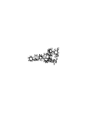 Fc1cc(OCCN2CCCC2)cc(-c2ccnc3[nH]c(-c4n[nH]c5ncc(-c6cncc(CNCc7ccccc7)c6)cc45)nc23)c1